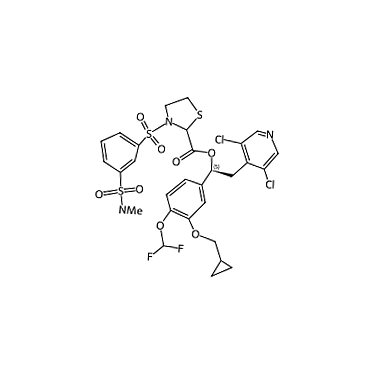 CNS(=O)(=O)c1cccc(S(=O)(=O)N2CCSC2C(=O)O[C@@H](Cc2c(Cl)cncc2Cl)c2ccc(OC(F)F)c(OCC3CC3)c2)c1